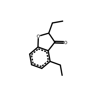 CCc1cccc2c1C(=O)C(CC)O2